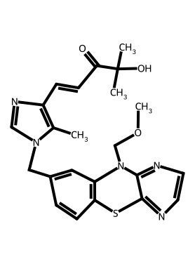 COCN1c2cc(Cn3cnc(C=CC(=O)C(C)(C)O)c3C)ccc2Sc2nccnc21